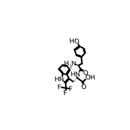 N[C@@H](Cc1ccc(O)cc1)C(=O)N[C@@H](Cc1c(C(F)(F)F)[nH]c2ccccc12)C(=O)O